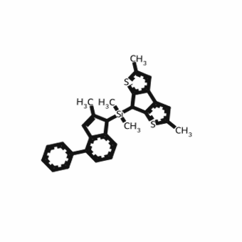 CC1=Cc2c(-c3ccccc3)cccc2C1[Si](C)(C)C1c2sc(C)cc2-c2cc(C)sc21